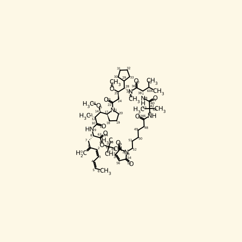 C=C(/C=C\C=C/C)C[C@H](NC(=O)[C@H](C)[C@@H](OC)[C@@H]1CCCN1C(=O)C[C@@H](OC)[C@H](C1CCCC1)N(C)C(=O)[C@@H](NC(=O)C(C)(C)NC(=O)CCCCCN1C(=O)C=CC1=O)C(C)C)C(=O)OC(C)(C)C